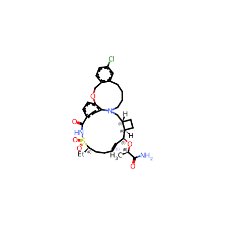 CC[C@@H]1CC/C=C/[C@H](O[C@H](C)C(N)=O)[C@@H]2CC[C@H]2CN2CCCCc3cc(Cl)ccc3COc3ccc(cc32)C(=O)NS1(=O)=O